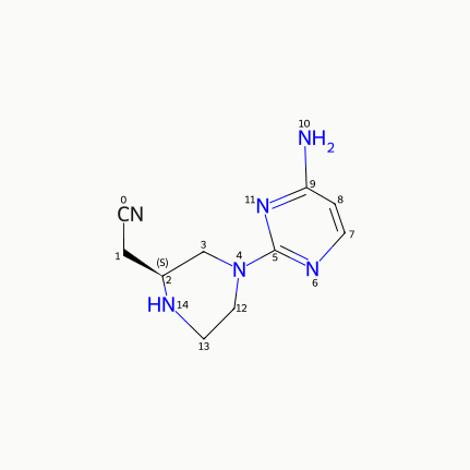 N#CC[C@H]1CN(c2nccc(N)n2)CCN1